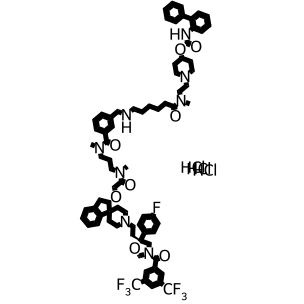 CN(CCN1CCC(OC(=O)Nc2ccccc2-c2ccccc2)CC1)C(=O)CCCCCNCc1cccc(C(=O)N(C)CCCN(C)C(=O)CO[C@H]2Cc3ccccc3C23CCN(CC[C@@]2(c4ccc(F)cc4)CN(C(=O)c4cc(C(F)(F)F)cc(C(F)(F)F)c4)CO2)CC3)c1.Cl.Cl.Cl